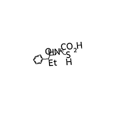 CCC(C(=O)CN[C@H](CS)C(=O)O)c1ccccc1